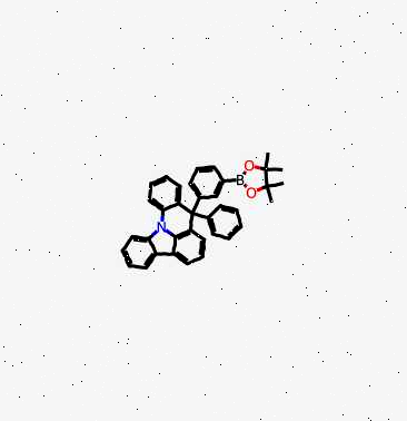 CC1(C)OB(c2cccc(C3(c4ccccc4)c4ccccc4-n4c5ccccc5c5cccc3c54)c2)OC1(C)C